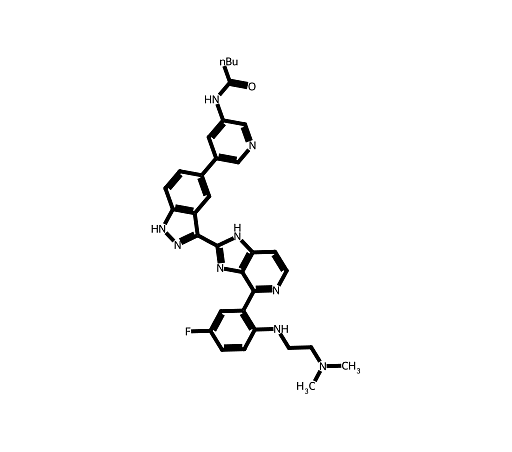 CCCCC(=O)Nc1cncc(-c2ccc3[nH]nc(-c4nc5c(-c6cc(F)ccc6NCCN(C)C)nccc5[nH]4)c3c2)c1